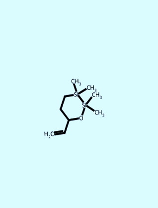 C=CC1CC[Si](C)(C)[Si](C)(C)O1